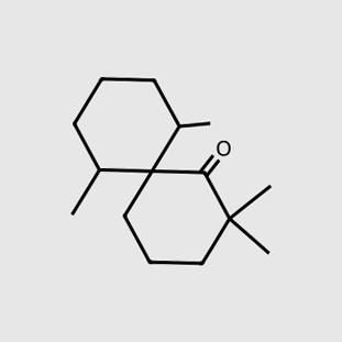 CC1CCCC(C)C12CCCC(C)(C)C2=O